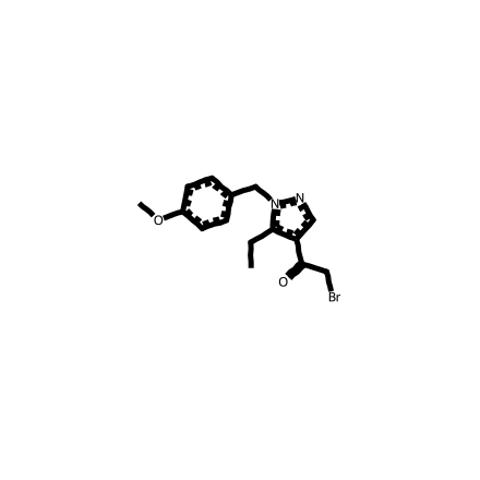 CCc1c(C(=O)CBr)cnn1Cc1ccc(OC)cc1